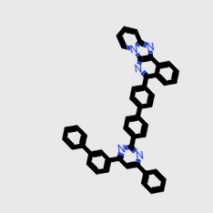 c1ccc(-c2cccc(-c3cc(-c4ccccc4)nc(-c4ccc(-c5ccc(-c6nc7c(nc8ccccn87)c7ccccc67)cc5)cc4)n3)c2)cc1